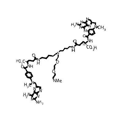 CNCCOCCOCCN(CCCCCNC(=O)CC[C@H](NC(=O)c1ccc(N(C)Cc2cnc3nc(N)nc(N)c3n2)cc1)C(=O)O)CCCCCNC(=O)CC[C@H](NC(=O)c1ccc(N(C)Cc2cnc3nc(N)nc(N)c3n2)cc1)C(=O)O